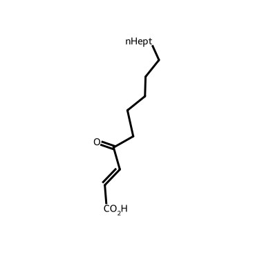 CCCCCCCCCCCCC(=O)/C=C/C(=O)O